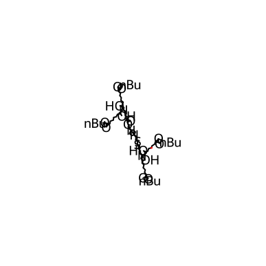 CCCCOC(=O)CCCCCCC(O)CN(CCCCSSCCN1CCN(CCOC(=O)CCCCN(CC(O)CCCCCCC(=O)OCCCC)CC(O)CCCCCCC(=O)OCCCC)CC1)CC(O)CCCCCCC(=O)OCCCC